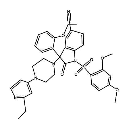 CCOc1ccccc1C1(N2CCN(c3ccnc(CC)c3)CC2)C(=O)N(S(=O)(=O)c2ccc(OC)cc2OC)c2ccc(C#N)cc21